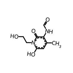 Cc1cc(O)n(CCO)c(=O)c1NC=O